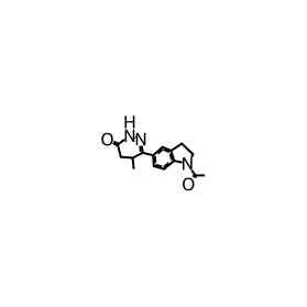 CC(=O)N1CCc2cc(C3=NNC(=O)CC3C)ccc21